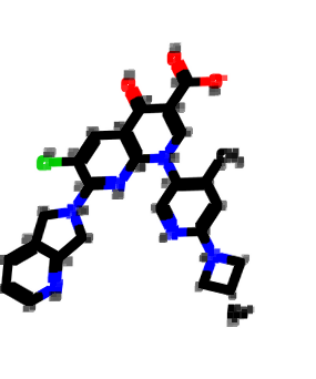 Cc1cc(N2CCC2)ncc1-n1cc(C(=O)[O-])c(=O)c2cc(Cl)c(N3Cc4cccnc4C3)nc21.[Na+]